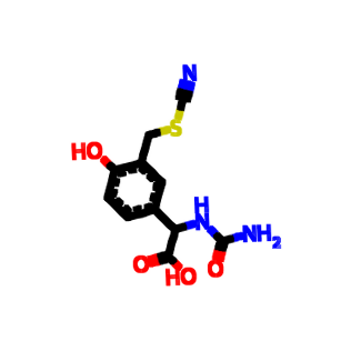 N#CSCc1cc(C(NC(N)=O)C(=O)O)ccc1O